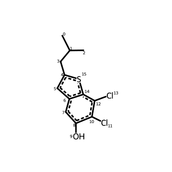 CC(C)Cc1cc2cc(O)c(Cl)c(Cl)c2s1